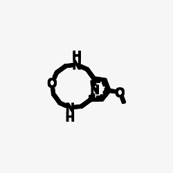 COc1cc2nc(c1)CNCCOCCNC2